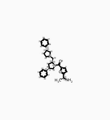 C[C@H](N)c1ccc(C(=O)N2C[C@@H](c3ccccc3)C[C@H]2CN2CC[C@H](c3ccccc3)C2)o1